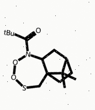 CC(C)(C)C(=O)N1OOSCC23CCC(CC12)C3(C)C